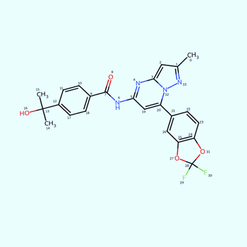 Cc1cc2nc(NC(=O)c3ccc(C(C)(C)O)cc3)cc(-c3ccc4c(c3)OC(F)(F)O4)n2n1